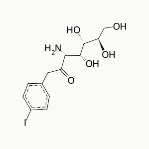 N[C@@H](C(=O)Cc1ccc(I)cc1)[C@@H](O)[C@H](O)[C@H](O)CO